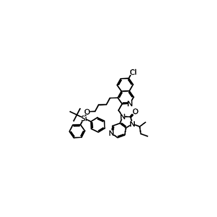 CCC(C)n1c(=O)n(Cc2ncc3cc(Cl)ccc3c2CCCCO[Si](c2ccccc2)(c2ccccc2)C(C)(C)C)c2cnccc21